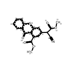 COC(=O)c1cc(C(C#N)C(=O)OC)cc2sc3ccccc3c(=O)c12